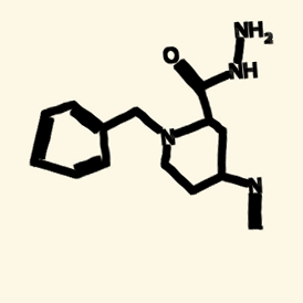 [CH]=NC1CCN(Cc2ccccc2)C(C(=O)NN)C1